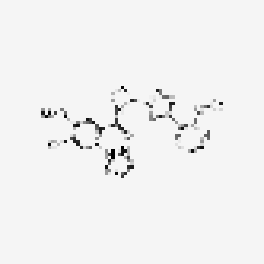 CCOc1ncccc1-c1nc(C2CCN2C(=O)c2cc(OC)c(Cl)cc2-n2nccn2)no1